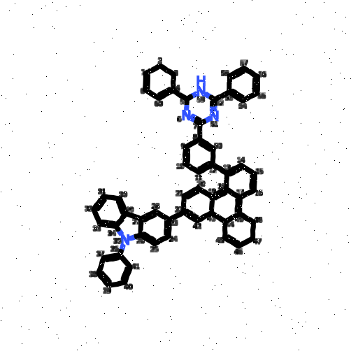 C1=CCCC(C2N=C(c3cccc(-c4cccc5c4=C4C=CC(c6ccc7c(c6)c6ccccc6n7-c6ccccc6)=CC4C4C=CCCC=54)c3)N=C(c3ccccc3)N2)=C1